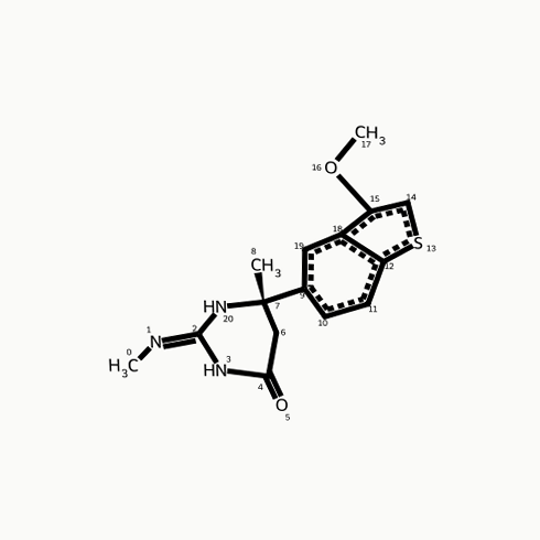 C/N=C1\NC(=O)C[C@@](C)(c2ccc3scc(OC)c3c2)N1